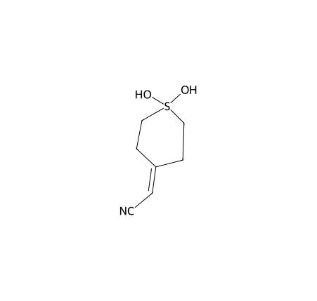 N#CC=C1CCS(O)(O)CC1